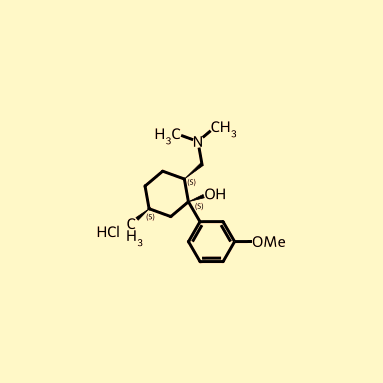 COc1cccc([C@]2(O)C[C@@H](C)CC[C@H]2CN(C)C)c1.Cl